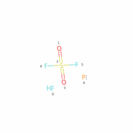 F.O=S(=O)(F)F.[P]